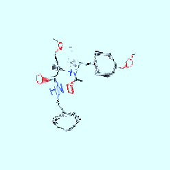 COC[C@H](C(=O)NCc1ccccc1)N(C(C)=O)[C@H](C)c1ccc(OC)cc1